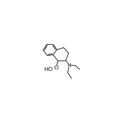 CCN(CC)C1CCc2ccccc2C1Cl.Cl